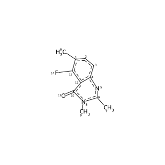 Cc1ccc2nc(C)n(C)c(=O)c2c1F